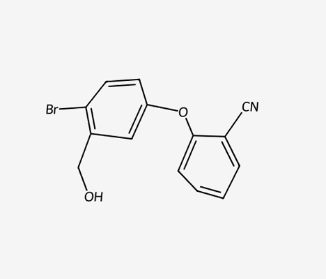 N#Cc1ccccc1Oc1ccc(Br)c(CO)c1